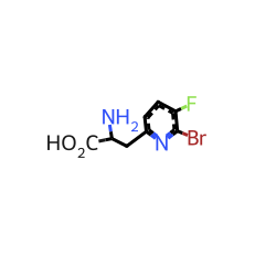 NC(Cc1ccc(F)c(Br)n1)C(=O)O